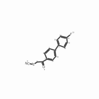 N#CSCC(=O)c1ccc(-c2ccc(F)cc2)cc1